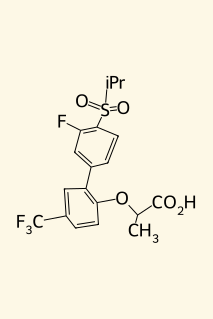 CC(Oc1ccc(C(F)(F)F)cc1-c1ccc(S(=O)(=O)C(C)C)c(F)c1)C(=O)O